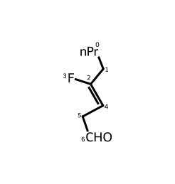 CCCCC(F)=CCC=O